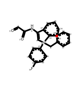 O=CC(=O)NC1=C[N+](Cc2ccccn2)(c2ccc(F)cc2)c2ccccc21